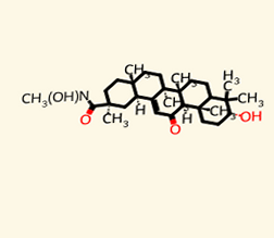 CN(O)C(=O)[C@@]1(C)CC[C@]2(C)CC[C@]3(C)C(=CC(=O)[C@@H]4[C@@]5(C)CC[C@@H](O)C(C)(C)C5CC[C@]43C)[C@H]2C1